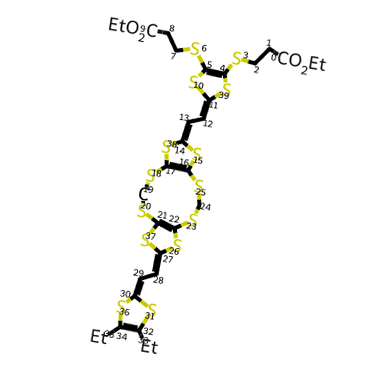 CCOC(=O)CCSC1=C(SCCC(=O)OCC)SC(=CC=C2SC3=C(SCSC4=C(SCS3)SC(=CC=C3SC(CC)=C(CC)S3)S4)S2)S1